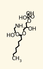 CCCCCCCC(=O)OCC(O)COP(=O)(O)O.NCCO